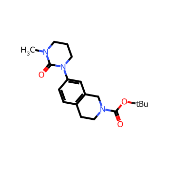 CN1CCCN(c2ccc3c(c2)CN(C(=O)OC(C)(C)C)CC3)C1=O